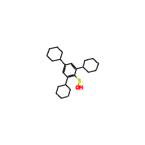 OSc1c(C2CCCCC2)cc(C2CCCCC2)cc1C1CCCCC1